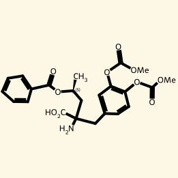 COC(=O)Oc1ccc(CC(N)(C[C@H](C)OC(=O)c2ccccc2)C(=O)O)cc1OC(=O)OC